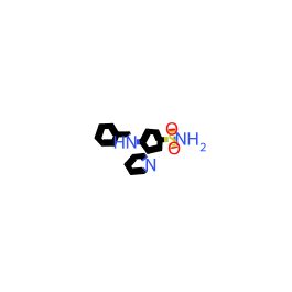 NS(=O)(=O)c1ccc(NCc2ccccc2)cc1.c1ccncc1